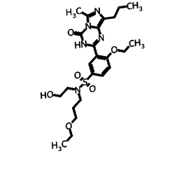 CCCc1nc(C)n2c(=O)[nH]c(-c3cc(S(=O)(=O)N(CCO)CCCOCC)ccc3OCC)nc12